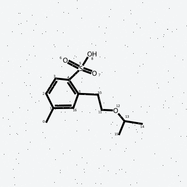 Cc1ccc(S(=O)(=O)O)c(CCOC(C)C)c1